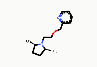 C[C@@H]1CC[C@H](C)N1CCOCc1ccccn1